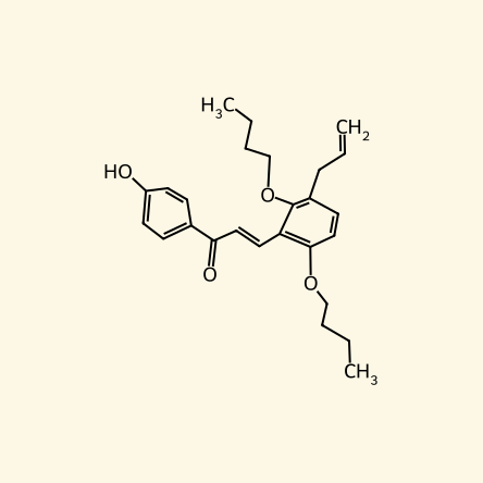 C=CCc1ccc(OCCCC)c(C=CC(=O)c2ccc(O)cc2)c1OCCCC